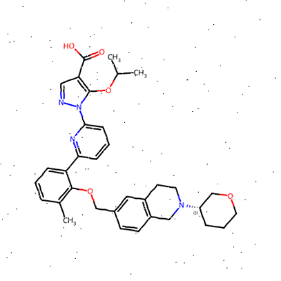 Cc1cccc(-c2cccc(-n3ncc(C(=O)O)c3OC(C)C)n2)c1OCc1ccc2c(c1)CCN([C@H]1CCCOC1)C2